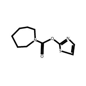 O=C(Oc1nccs1)N1CCCCCC1